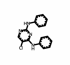 Clc1cnc(Nc2ccccc2)nc1Nc1ccccc1